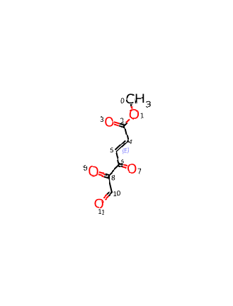 COC(=O)/C=C/C(=O)C(=O)C=O